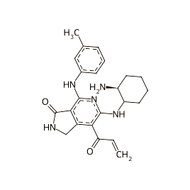 C=CC(=O)c1c(NC2CCCC[C@@H]2N)nc(Nc2cccc(C)c2)c2c1CNC2=O